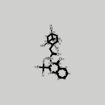 CC1(C)[C@H]2CC[C@@H](CC(=O)Nn3c(C(F)(F)F)nc4ccccc4c3=O)[C@@H]1C2